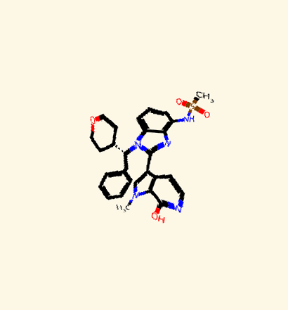 Cn1cc(-c2nc3c(NS(C)(=O)=O)cccc3n2[C@H](c2ccccc2)C2CCOCC2)c2ccnc(O)c21